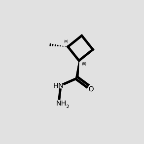 C[C@@H]1CC[C@H]1C(=O)NN